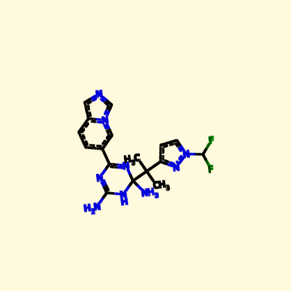 CC(C)(c1ccn(C(F)F)n1)C1(N)N=C(c2ccc3cncn3c2)N=C(N)N1